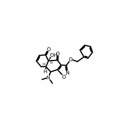 CN(C)C1c2onc(OCc3ccccc3)c2C(=O)[C@@]2(O)C(=O)C=CC[C@@H]12